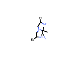 CCC(N)CN(CC(N)CC)C(C)(C)CC